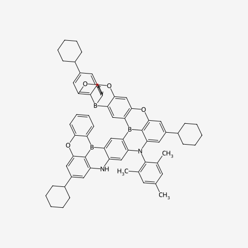 Cc1cc(C)c(N2c3cc4c(cc3B3c5cc6c(cc5Oc5cc(C7CCCCC7)cc2c53)Oc2cc(C3CCCCC3)cc3c2B6c2ccccc2O3)B2c3ccccc3Oc3cc(C5CCCCC5)cc(c32)N4)c(C)c1